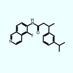 CC(C)c1cccc(C(C)CC(=O)Nc2ccc3cnccc3c2F)c1